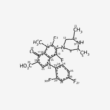 Cc1c(F)c(N2CC(C)NC(C)C2)c(F)c2c1c(=O)c(C(=O)O)cn2-c1ccc(F)cc1F